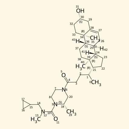 CC(CCC(=O)N1CCN(C(=O)N(C)CC2CC2)[C@@H](C)C1)[C@H]1CC[C@H]2[C@@H]3CC=C4C[C@@H](O)CC[C@]4(C)[C@H]3CC[C@]12C